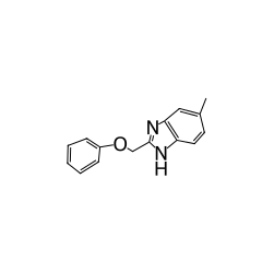 Cc1ccc2[nH]c(COc3ccccc3)nc2c1